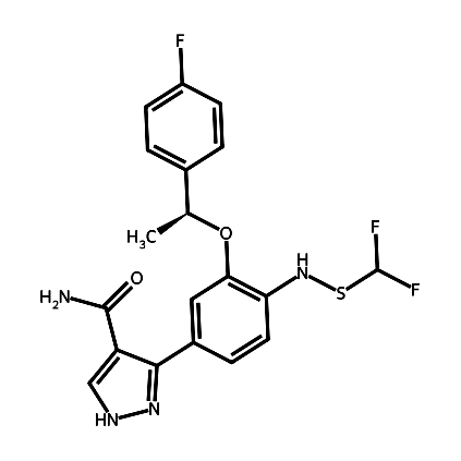 C[C@H](Oc1cc(-c2n[nH]cc2C(N)=O)ccc1NSC(F)F)c1ccc(F)cc1